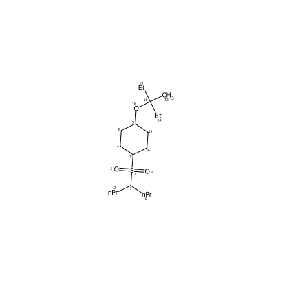 CCCC(CCC)S(=O)(=O)C1CCC(OC(C)(CC)CC)CC1